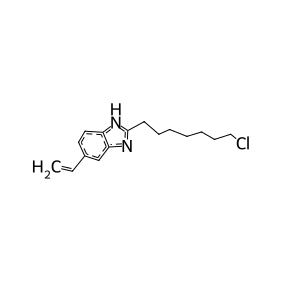 C=Cc1ccc2[nH]c(CCCCCCCCl)nc2c1